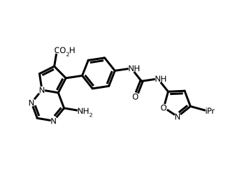 CC(C)c1cc(NC(=O)Nc2ccc(-c3c(C(=O)O)cn4ncnc(N)c34)cc2)on1